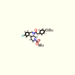 CC(C)COc1ccc(CC(=O)N(Cc2ccc(F)cc2)[C@H]2CCCN(C(=O)OC(C)(C)C)C2)cc1